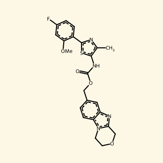 COc1cc(F)ccc1-c1nc(C)c(NC(=O)OCc2ccc3c(c2)nc2n3CCOC2)s1